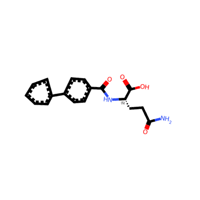 NC(=O)CC[C@H](NC(=O)c1ccc(-c2ccccc2)cc1)C(=O)O